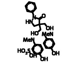 CNc1ccc(O)cc1.CNc1ccc(O)cc1.O=C1N(c2ccccc2)NCC1(CO)CO.O=S(=O)(O)O